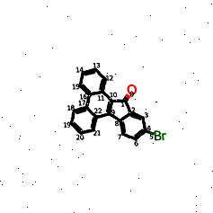 O=C1c2cc(Br)ccc2-c2c1c1ccccc1c1ccccc21